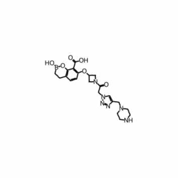 O=C(O)c1c(OC2CN(C(=O)Cn3cc(CN4CCNCC4)nn3)C2)ccc2c1OB(O)CC2